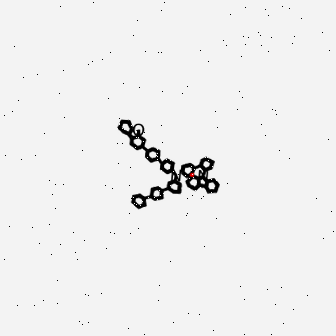 c1ccc(-c2ccc(-c3cccc(N(c4ccc(-c5ccc(-c6ccc7c(c6)oc6ccccc67)cc5)cc4)c4ccc(-c5ccccc5-n5c6ccccc6c6ccccc65)cc4)c3)cc2)cc1